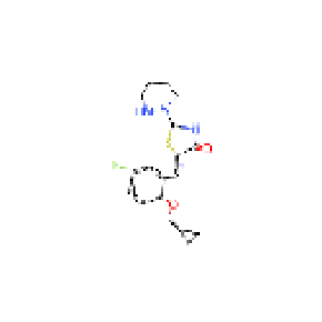 O=C1N=C(N2CCCCN2)S/C1=C\c1cc(F)ccc1OCC1CC1